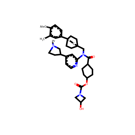 COc1ccc(C23CCC(CN(C(=O)C4CCC(OC(=O)N5CC(O)C5)CC4)c4cc(C5CCN(C(C)C)C5)ccn4)(CC2)CC3)cc1C